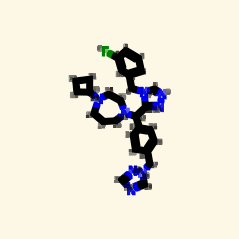 Fc1cccc(Cn2cnnc2C(c2ccc(Cn3cncn3)cc2)N2CCCN(C3CCC3)CC2)c1